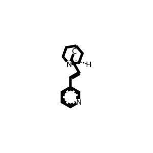 C(=C[C@@H]1CC2CCN1CC2)c1cccnc1